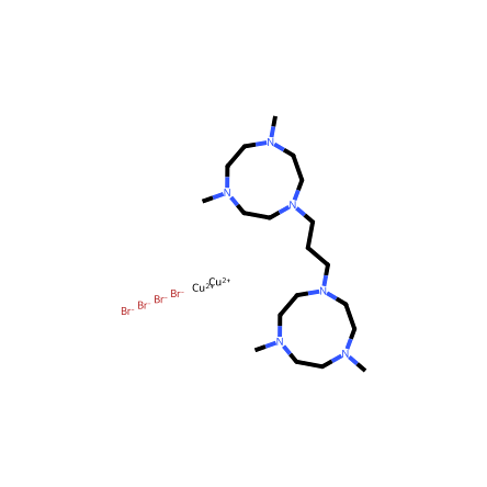 CN1CCN(C)CCN(CCCN2CCN(C)CCN(C)CC2)CC1.[Br-].[Br-].[Br-].[Br-].[Cu+2].[Cu+2]